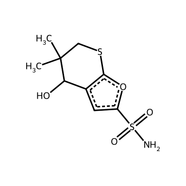 CC1(C)CSc2oc(S(N)(=O)=O)cc2C1O